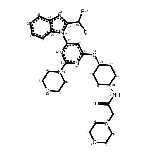 O=C(CN1CCOCC1)N[C@H]1CC[C@H](Oc2cc(-n3c(C(F)F)nc4ccccc43)nc(N3CCOCC3)n2)CC1